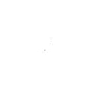 O.[AlH3].[CaH2].[La].[Mn]